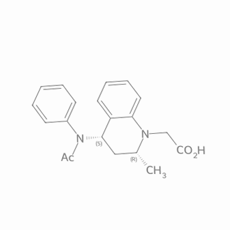 CC(=O)N(c1ccccc1)[C@H]1C[C@@H](C)N(CC(=O)O)c2ccccc21